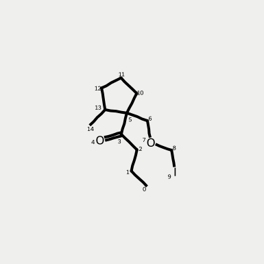 CCCC(=O)C1(COCI)CCCC1C